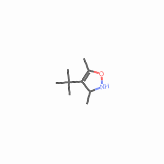 CC1=C(C(C)(C)C)C(C)NO1